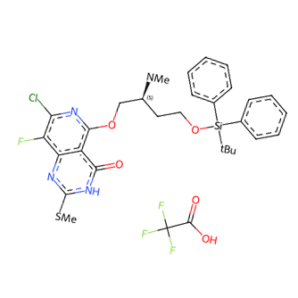 CN[C@@H](CCO[Si](c1ccccc1)(c1ccccc1)C(C)(C)C)COc1nc(Cl)c(F)c2nc(SC)[nH]c(=O)c12.O=C(O)C(F)(F)F